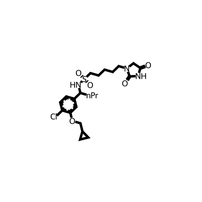 CCCC(NS(=O)(=O)CCCCCN1CC(=O)NC1=O)c1ccc(Cl)c(OCC2CC2)c1